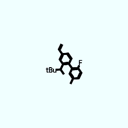 C=Cc1ccc(-c2cc(C)ccc2F)c(C(C)C(C)(C)C)c1